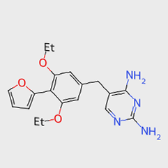 CCOc1cc(Cc2cnc(N)nc2N)cc(OCC)c1-c1ccco1